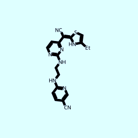 CCC1=CS/C(=C(\C#N)c2ccnc(NCCNc3ccc(C#N)cn3)n2)N1